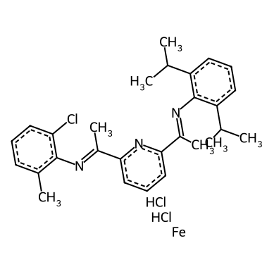 CC(=Nc1c(C)cccc1Cl)c1cccc(C(C)=Nc2c(C(C)C)cccc2C(C)C)n1.Cl.Cl.[Fe]